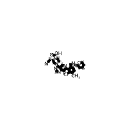 Cc1cc2c(cnn2C2CCCCO2)c(-c2ncc3c(N4CCN(C(=O)O)[C@@H](CC#N)C4)ncnc3c2F)c1Cl